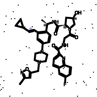 Cc1cc(CN2CCN(c3ccc([C@H](C)NC(=O)[C@@H]4C[C@@H](O)CN4C(=O)CNC(=O)c4ccc5cc(F)ccc5n4)c(/C=C/C4CC4)c3)CC2)on1